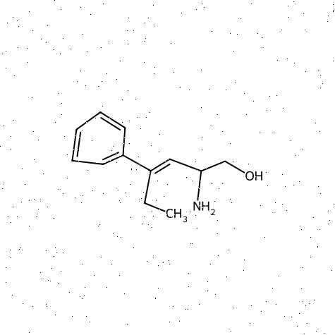 CCC(=CC(N)CO)c1ccccc1